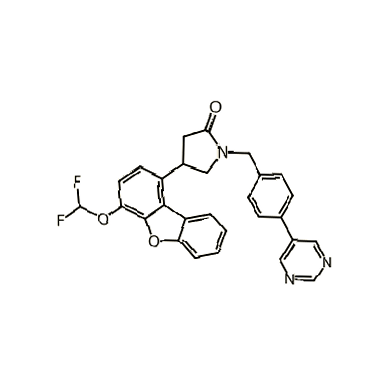 O=C1CC(c2ccc(OC(F)F)c3oc4ccccc4c23)CN1Cc1ccc(-c2cncnc2)cc1